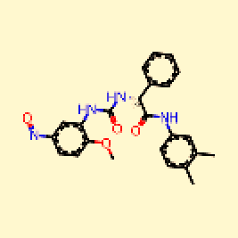 COc1ccc(N=O)cc1NC(=O)N[C@@H](C(=O)Nc1ccc(C)c(C)c1)c1ccccc1